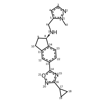 Cn1nccc1CN[C@@H]1CCc2cc(-c3nc(C4CC4)no3)ccc21